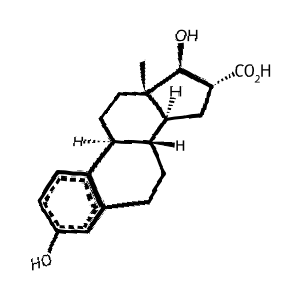 C[C@]12CC[C@@H]3c4ccc(O)cc4CC[C@H]3[C@@H]1C[C@@H](C(=O)O)[C@@H]2O